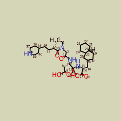 CCN(CC(=O)N[C@@H](CC(=O)O)C(=O)N[C@@H](C[C@@H]1CC[C@H]2CCCCC2C1)C(=O)O)C(=O)CCCC1CCNCC1